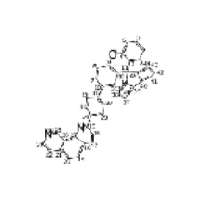 c1ccc2c(c1)Oc1ccc(-c3ccc(-c4ccc5ccc6ccncc6c5n4)cc3)cc1C21c2ccccc2-c2ccccc21